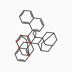 O=C(C12CC3CC(CC(C3)C1c1cccc3ccccc13)C2)C12CC3CC(CC(C3)C1c1cccc3ccccc13)C2